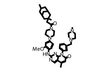 COc1cc(N2CCN(C(=O)CC3(C)CC4CC(C)CC(C4)C3)CC2)ccc1Nc1ncc2c(C)cc(=O)n(-c3cccc(CN4CCN(C)CC4)c3)c2n1